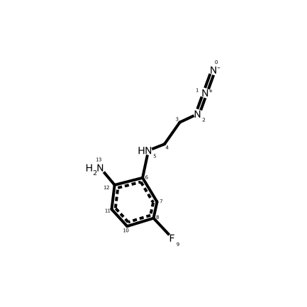 [N-]=[N+]=NCCNc1cc(F)ccc1N